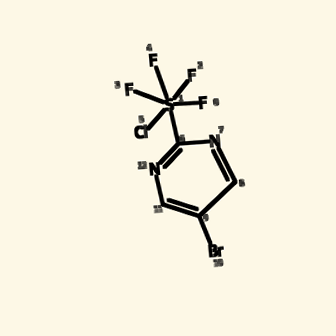 FS(F)(F)(F)(Cl)c1ncc(Br)cn1